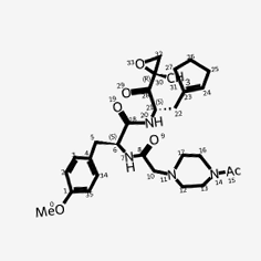 COc1ccc(C[C@H](NC(=O)CN2CCN(C(C)=O)CC2)C(=O)N[C@@H](CC2=CCCC2)C(=O)[C@@]2(C)CO2)cc1